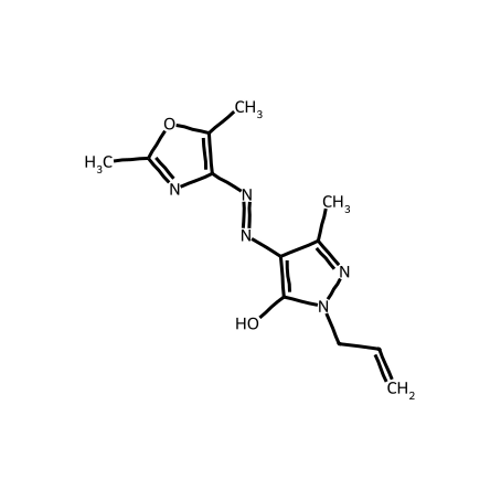 C=CCn1nc(C)c(N=Nc2nc(C)oc2C)c1O